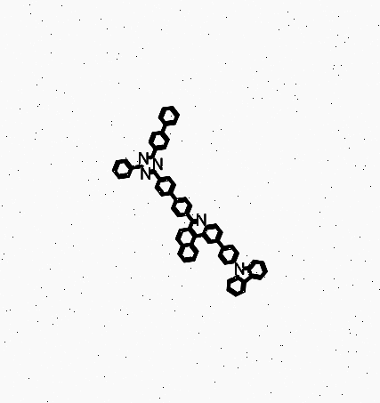 c1ccc(-c2ccc(-c3nc(-c4ccccc4)nc(-c4ccc(-c5ccc(-c6nc7ccc(-c8ccc(-n9c%10ccccc%10c%10ccccc%109)cc8)cc7c7c6ccc6ccccc67)cc5)cc4)n3)cc2)cc1